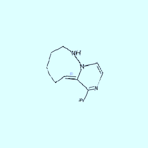 CC(C)C1=NC=CN2NCCCC/C=C\12